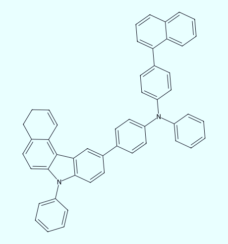 C1=Cc2c(ccc3c2c2cc(-c4ccc(N(c5ccccc5)c5ccc(-c6cccc7ccccc67)cc5)cc4)ccc2n3-c2ccccc2)CC1